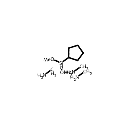 CN.CN.CN.CO[SiH](OC)C1CCCC1